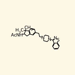 CC(=O)NC1Cc2cc(CCN3CCN(c4nsc5ccccc45)CC3)ccc2C1(C)C